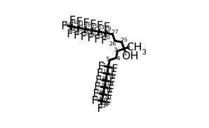 CC(O)(CCCC(F)(F)C(F)(F)C(F)(F)C(F)(F)C(F)(F)C(F)(F)F)CCCC(F)(F)C(F)(F)C(F)(F)C(F)(F)C(F)(F)C(F)(F)F